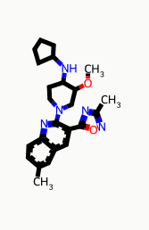 COC1CN(c2nc3ccc(C)cc3cc2-c2nc(C)no2)CCC1NC1CCCC1